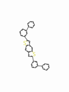 c1ccc(-c2cccc(-c3cc4cc5sc(-c6cccc(-c7ccccc7)c6)cc5cc4s3)c2)cc1